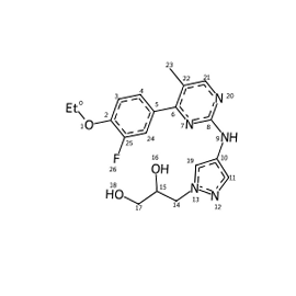 CCOc1ccc(-c2nc(Nc3cnn(CC(O)CO)c3)ncc2C)cc1F